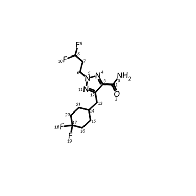 NC(=O)c1nn(CCC(F)F)nc1CC1CCC(F)(F)CC1